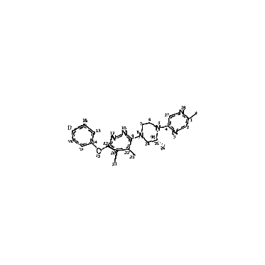 Cc1cnc(N2CCN(c3nnc(Oc4ccccc4)c(C)c3C)C[C@H]2C)cn1